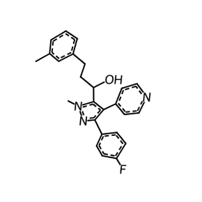 Cc1cccc(CCC(O)c2c(-c3ccncc3)c(-c3ccc(F)cc3)nn2C)c1